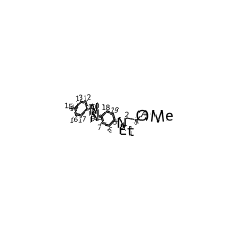 CCN(CCOC)c1ccc(N=Nc2ccc(C)cc2)cc1